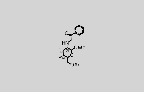 COC1OC(COC(C)=O)[C@@H](C)[C@H](C)[C@@H]1NCC(=O)c1ccccc1